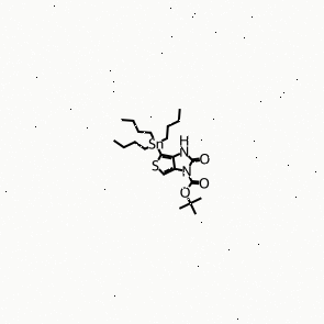 CCC[CH2][Sn]([CH2]CCC)([CH2]CCC)[c]1scc2c1[nH]c(=O)n2C(=O)OC(C)(C)C